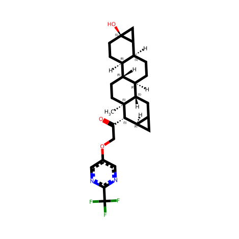 C[C@]12CC[C@@H]3[C@H]4CC[C@]5(O)CC5[C@H]4CC[C@H]3[C@@H]1CC1C[C@H]1[C@@H]2C(=O)COc1cnc(C(F)(F)F)nc1